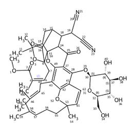 COC(=O)/C(C)=C\CC12OC(C)(C)C3CC(C1=O)C(C(C#N)C#N)C1C(=O)c4c(O[C@@H]5O[C@H](CO)[C@@H](O)[C@H](O)[C@H]5O)c5c(c(CC=C(C)C)c4OC132)OC(C)(CCC=C(C)C)C=C5